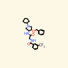 O=C(CNC(=O)c1cccc(C(F)(F)F)c1)N[C@H]1CN(C2CCCCC2)C[C@@H]1OCc1ccccc1